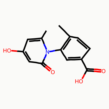 Cc1ccc(C(=O)O)cc1-n1c(C)cc(O)cc1=O